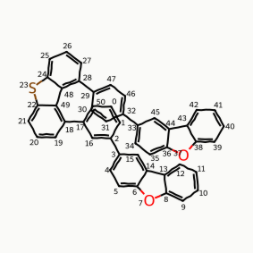 c1cc(-c2ccc3oc4ccccc4c3c2)cc(-c2cccc3sc4cccc(-c5ccc(-c6ccc7oc8ccccc8c7c6)cc5)c4c23)c1